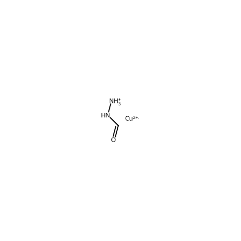 [Cu+2].[NH3+]NC=O